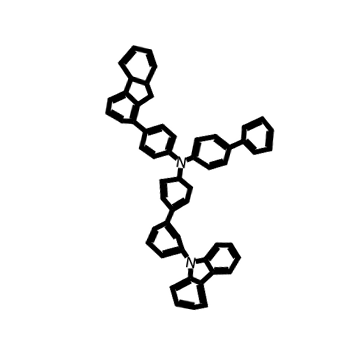 C1=CC2Cc3c(-c4ccc(N(c5ccc(-c6ccccc6)cc5)C5C=CC(c6cccc(-n7c8ccccc8c8ccccc87)c6)=CC5)cc4)cccc3C2C=C1